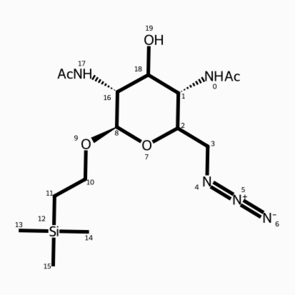 CC(=O)N[C@@H]1C(CN=[N+]=[N-])O[C@@H](OCC[Si](C)(C)C)[C@H](NC(C)=O)C1O